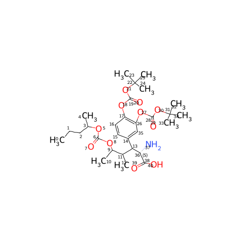 CCCC(C)OC(=O)OC(C)C(C)C(c1ccc(OC(=O)OC(C)(C)C)c(OC(=O)OC(C)(C)C)c1)[C@H](N)C(=O)O